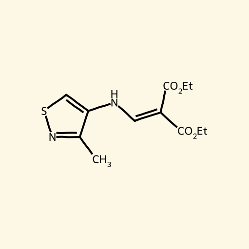 CCOC(=O)C(=CNc1csnc1C)C(=O)OCC